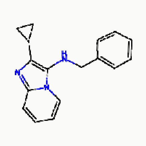 c1ccc(CNc2c(C3CC3)nc3ccccn23)cc1